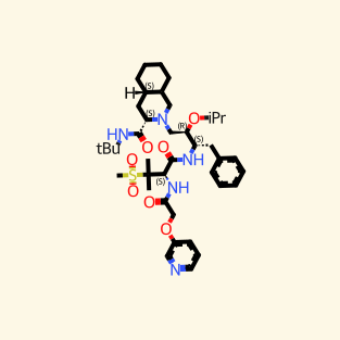 CC(C)O[C@H](CN1CC2CCCC[C@H]2C[C@H]1C(=O)NC(C)(C)C)[C@H](Cc1ccccc1)NC(=O)[C@H](NC(=O)COc1cccnc1)C(C)(C)S(C)(=O)=O